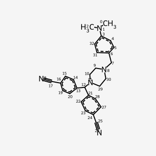 CN(C)c1ccc(CN2CCN(C(c3ccc(C#N)cc3)c3ccc(C#N)cc3)CC2)cc1